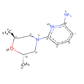 C[C@H]1CN(c2cccc(N)n2)C[C@H](C)O1